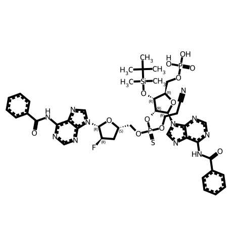 CC(C)(C)[Si](C)(C)O[C@H]1[C@@H](OP(=S)(OCCC#N)OC[C@@H]2C[C@@H](F)[C@H](n3cnc4c(NC(=O)c5ccccc5)ncnc43)O2)[C@H](n2cnc3c(NC(=O)c4ccccc4)ncnc32)O[C@@H]1COP(=O)(O)O